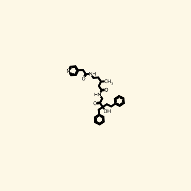 CC(CCNC(=O)Cc1ccncc1)CC(=O)NCC(=O)C(O)(CCc1ccccc1)Cc1ccccc1